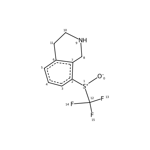 [O-][S+](c1cccc2c1CNCC2)C(F)(F)F